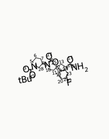 CC(C)(C)OC(=O)N1CCCC(N2CCC(CCC(N)=O)(c3ccc(F)cc3)OC2=O)C1